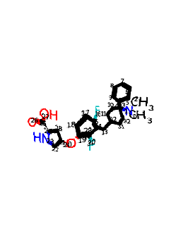 CN(C)C1(c2ccccc2)CCC(Cc2c(F)ccc(O[C@@H]3CN[C@H](C(=O)O)C3)c2F)CC1